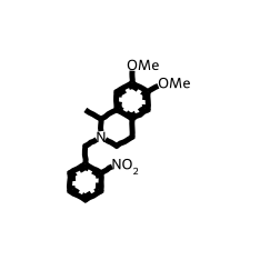 COc1cc2c(cc1OC)C(C)N(Cc1ccccc1[N+](=O)[O-])CC2